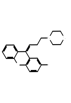 Fc1ccc2c(c1)/C(=C\CCN1CCNCC1)c1ccccc1S2